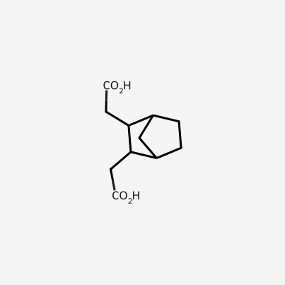 O=C(O)CC1C2CCC(C2)C1CC(=O)O